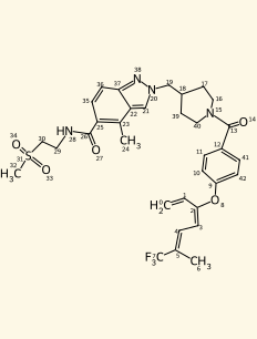 C=C/C(=C\C=C(/C)C(F)(F)F)Oc1ccc(C(=O)N2CCC(Cn3cc4c(C)c(C(=O)NCCS(C)(=O)=O)ccc4n3)CC2)cc1